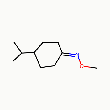 CON=C1CCC(C(C)C)CC1